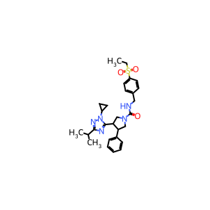 CCS(=O)(=O)c1ccc(CNC(=O)N2CC(c3ccccc3)C(c3nc(C(C)C)nn3C3CC3)C2)cc1